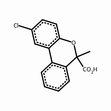 CC1(C(=O)O)Oc2ccc(Cl)cc2-c2ccccc21